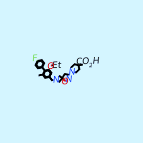 CCOc1cc(CN2CC3(CC(N4CCC(C)(C(=O)O)CC4)=NO3)C2)cc(C)c1-c1ccc(F)cc1